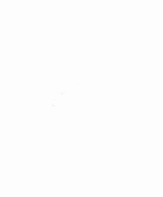 COC(=O)C(COC(=O)c1cncn1C(C)c1ccccc1)C1CCCCC1